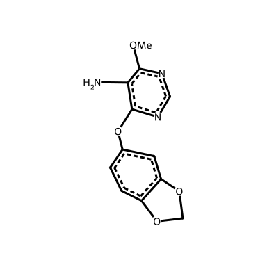 COc1ncnc(Oc2ccc3c(c2)OCO3)c1N